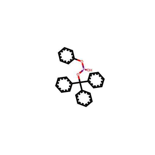 OP(Oc1ccccc1)OC(c1ccccc1)(c1ccccc1)c1ccccc1